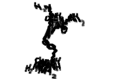 N=C(NCCCCc1ccc(OCCN(CCCNC(=O)[C@@H](N)CCCCN)CCCNC(=O)[C@@H](N)CCCCN)cc1)NC(=O)c1nc(Cl)c(N)nc1N